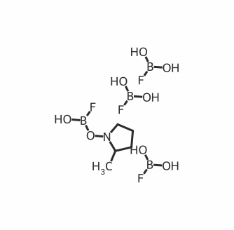 CC1CCCN1OB(O)F.OB(O)F.OB(O)F.OB(O)F